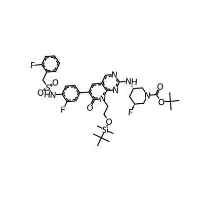 CC(C)(C)OC(=O)N1C[C@@H](F)C[C@H](Nc2ncc3cc(-c4ccc(NS(=O)(=O)Cc5ccccc5F)c(F)c4)c(=O)n(CCO[Si](C)(C)C(C)(C)C)c3n2)C1